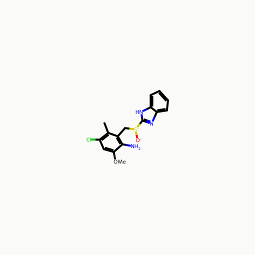 COc1cc(Cl)c(C)c(C[S+]([O-])c2nc3ccccc3[nH]2)c1N